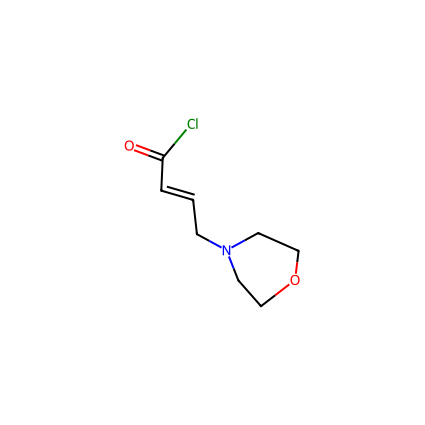 O=C(Cl)/C=C/CN1CCOCC1